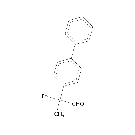 CCC(C)(C=O)c1ccc(-c2ccccc2)cc1